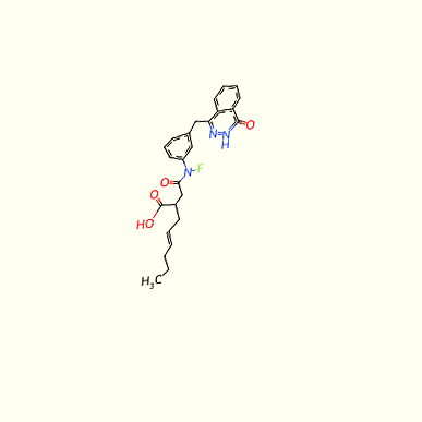 CCCC=CCC(CC(=O)N(F)c1cccc(Cc2n[nH]c(=O)c3ccccc23)c1)C(=O)O